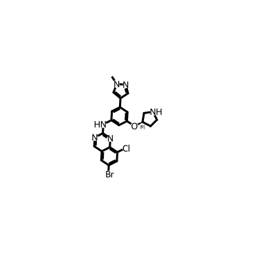 Cn1cc(-c2cc(Nc3ncc4cc(Br)cc(Cl)c4n3)cc(O[C@@H]3CCNC3)c2)cn1